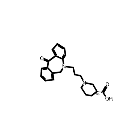 O=C1c2ccccc2CN(CCCN2CCC[C@@H](C(=O)O)C2)c2ccccc21